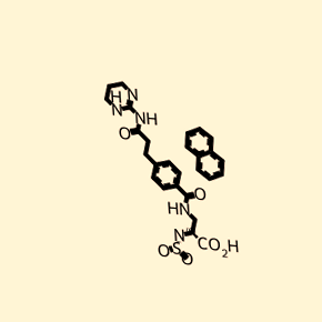 O=C(CCc1ccc(C(=O)NC[C@H](N=S(=O)=O)C(=O)O)cc1)NC1=NCCCN1.c1ccc2ccccc2c1